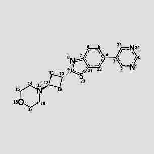 c1ncc(-c2ccc3nc([C@H]4C[C@H](N5CCOCC5)C4)sc3c2)cn1